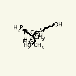 CC(C)(P)CC(C)(C)C(CCCCCP)C(C)(C)CCSCCCCCCO